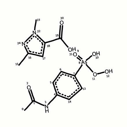 CC(=O)Nc1ccc([As](=O)(O)OO)cc1.Cc1cc(C(=O)O)n(C)n1